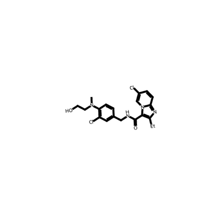 CCc1nc2ccc(Cl)cn2c1C(=O)NCc1ccc(N(C)CCO)c(Cl)c1